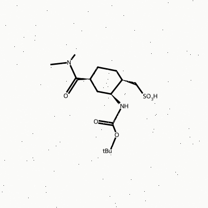 CN(C)C(=O)[C@H]1CC[C@@H](CS(=O)(=O)O)[C@@H](NC(=O)OC(C)(C)C)C1